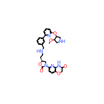 COC1CNCC1Oc1cccc(-c2cccc(CNCC[C@H]3CN(c4ccc5c(n4)NC(=O)CO5)C(=O)O3)c2)n1